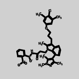 Cc1cc(OCCCc2c(C)n(CCC(=O)N[S+]([O-])c3ccccc3[N+](=O)[O-])c3c(-c4c(C)nn(C)c4C)cccc23)cc(C)c1Cl